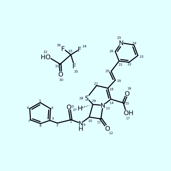 O=C(Cc1ccccc1)NC1C(=O)N2C(C(=O)O)=C(/C=C/c3cccnc3)CS[C@H]12.O=C(O)C(F)(F)F